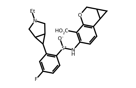 CCN1CC2C(C1)C2c1cc(F)ccc1[S+]([O-])Nc1ccc2c(c1C(=O)O)OCC1CC21